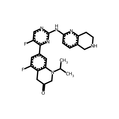 CC(C)N1CC(=O)Cc2c(F)cc(-c3nc(Nc4ccc5c(n4)CCNC5)ncc3F)cc21